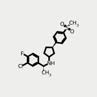 C[C@@H](NC1CC[C@@H](c2ccc(S(C)(=O)=O)cc2)C1)c1ccc(F)c(Cl)c1